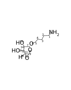 NCCCCCO[C@@H]1OC2O[C@@H]2C(O)C1O